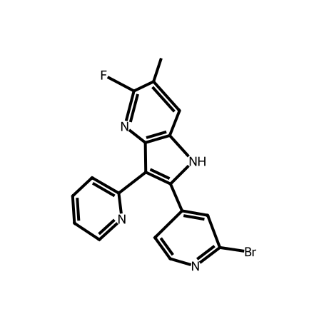 Cc1cc2[nH]c(-c3ccnc(Br)c3)c(-c3ccccn3)c2nc1F